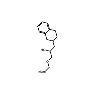 CCCCCCCCCCOCC(O)CN1CCc2ccccc2C1